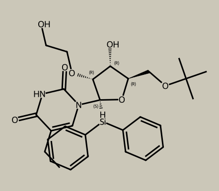 CCc1cn([C@]2([SiH](c3ccccc3)c3ccccc3)O[C@H](COC(C)(C)C)[C@@H](O)[C@H]2OCCO)c(=O)[nH]c1=O